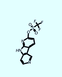 O=S(=O)(Oc1ccc2c(n1)[nH]c1ccncc12)C(F)(F)F